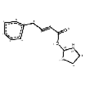 O=C(C=CCc1ccccc1)OC1NCCS1